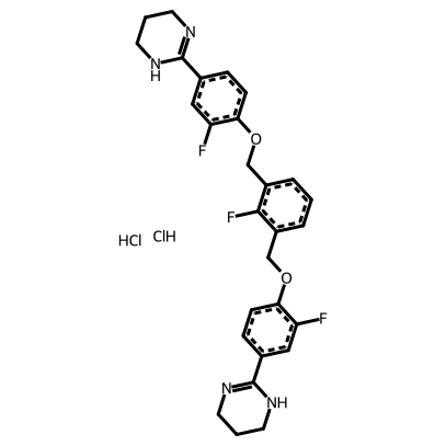 Cl.Cl.Fc1cc(C2=NCCCN2)ccc1OCc1cccc(COc2ccc(C3=NCCCN3)cc2F)c1F